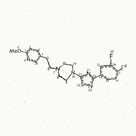 COc1ccc(CCN2CCN(c3nc(-c4ccc(F)c(F)c4)ns3)CC2)cn1